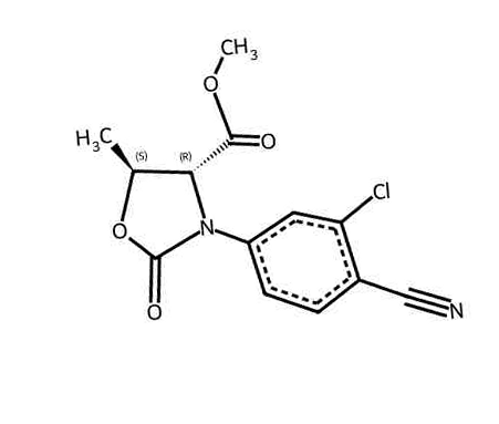 COC(=O)[C@H]1[C@H](C)OC(=O)N1c1ccc(C#N)c(Cl)c1